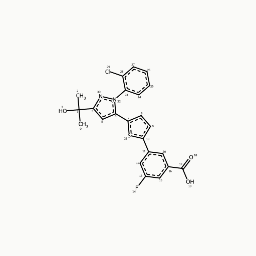 CC(C)(O)c1cc(-c2ccc(-c3cc(F)cc(C(=O)O)c3)s2)n(-c2ccccc2Cl)n1